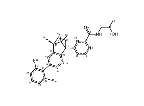 CC(O)CNC(=O)c1nccc([C@]23CC[C@@H](c4cc(-c5c(F)cccc5F)nnc42)C3(C)C)n1